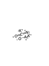 CC(=O)[O-].[K+].[K+].[N-]=C=O